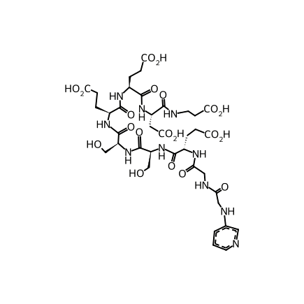 O=C(O)CCNC(=O)[C@H](CC(=O)O)NC(=O)[C@H](CCC(=O)O)NC(=O)[C@H](CCC(=O)O)NC(=O)[C@H](CO)NC(=O)[C@H](CO)NC(=O)[C@H](CCC(=O)O)NC(=O)CNC(=O)CNc1cccnc1